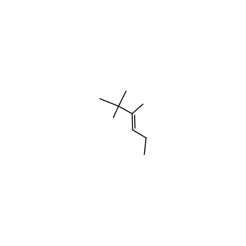 CC/C=C(\C)C(C)(C)C